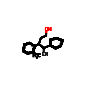 Cc1ccccc1C(CCO)C(C#N)c1ccccc1